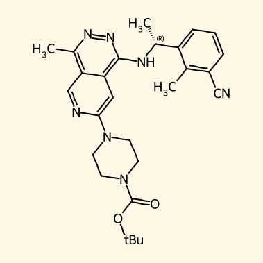 Cc1c(C#N)cccc1[C@@H](C)Nc1nnc(C)c2cnc(N3CCN(C(=O)OC(C)(C)C)CC3)cc12